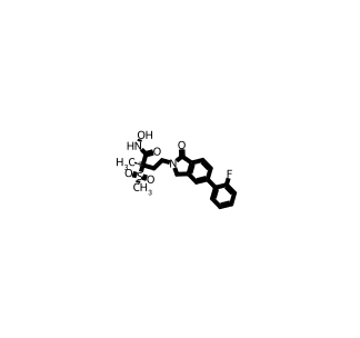 C[C@@](CCN1Cc2cc(-c3ccccc3F)ccc2C1=O)(C(=O)NO)S(C)(=O)=O